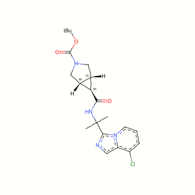 CC(C)(C)OC(=O)N1C[C@@H]2[C@H](C1)[C@H]2C(=O)NC(C)(C)c1ncc2c(Cl)cccn12